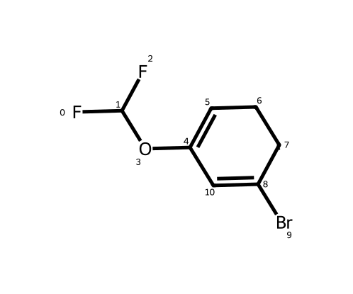 FC(F)OC1=CC[CH]C(Br)=C1